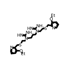 CCOc1cccnc1CSCCN(CCCN(CCSCc1ncccc1OCC)C(=N)N)C(=N)N